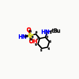 CC(C)(C)NC1CCCCC1CS(=N)(=O)O